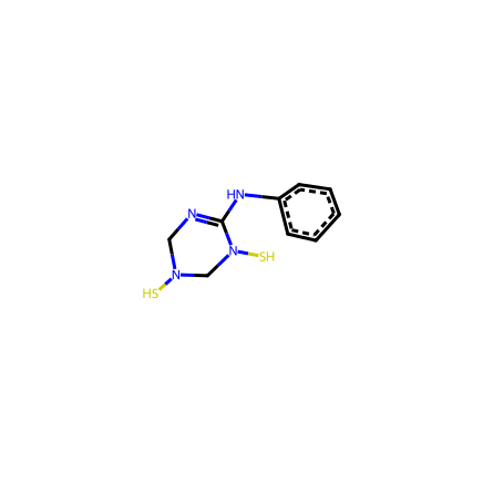 SN1CN=C(Nc2ccccc2)N(S)C1